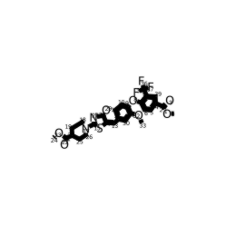 COC(=O)c1ccc(Oc2ccc(/C=C3/SC(N4CCC(C(=O)OC)CC4)=NC3=O)cc2OC)c(C(F)(F)F)c1